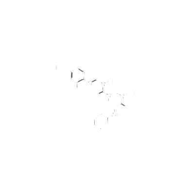 Cc1ccc(N=CN(C)C(=O)N(C)SN(C)C(=O)ONC2CSCCS2)c(C)c1